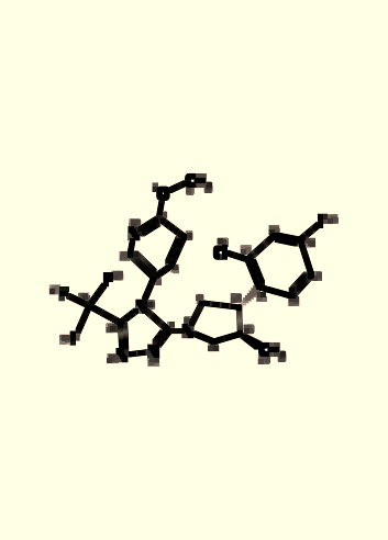 COc1ccc(-n2c(N3C[C@H](c4ccc(F)cc4Cl)[C@@H](C)C3)nnc2C(F)(F)F)cn1